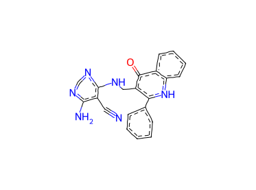 N#Cc1c(N)ncnc1NCc1c(-c2ccccc2)[nH]c2ccccc2c1=O